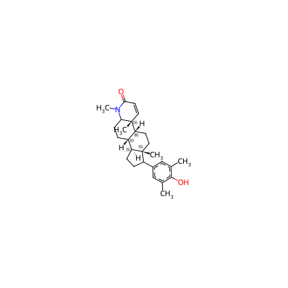 Cc1cc(C2CC[C@H]3[C@@H]4CCC5N(C)C(=O)C=C[C@]5(C)[C@@H]4CC[C@]23C)cc(C)c1O